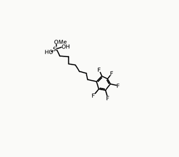 CO[Si](O)(O)CCCCCCCc1c(F)c(F)c(F)c(F)c1F